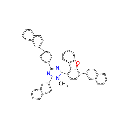 CN1C(c2ccc3ccccc3c2)=NC(c2ccc(-c3ccc4ccccc4c3)cc2)=NC1c1ccc(-c2ccc3ccccc3c2)c2oc3ccccc3c12